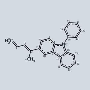 C=C/C=C(\C)c1ccc2c(c1)c1ccccc1n2-c1ccccc1